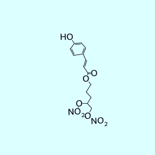 O=C(/C=C/c1ccc(O)cc1)OCCCC(CO[N+](=O)[O-])O[N+](=O)[O-]